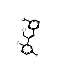 Fc1ccc(F)c(C(=Cc2cccc(Cl)c2)CCl)c1